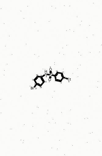 CCc1ccc(S(=O)(=O)Nc2ccc(Br)cc2)cc1